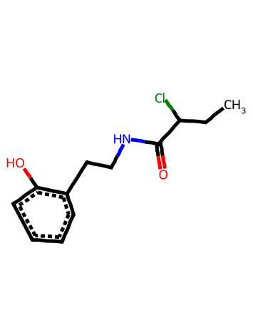 CCC(Cl)C(=O)NCCc1ccccc1O